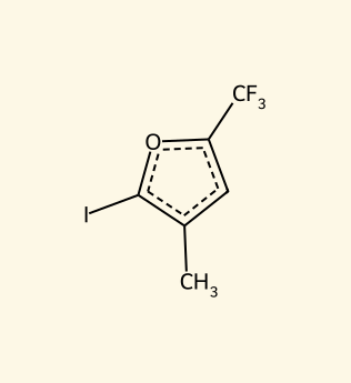 Cc1cc(C(F)(F)F)oc1I